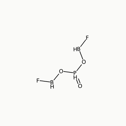 O=[PH](OBF)OBF